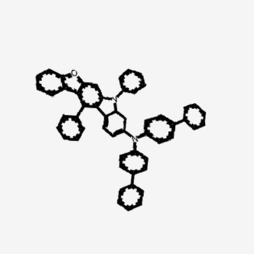 C1=C2c3c(cc4oc5ccccc5c4c3-c3ccccc3)N(c3ccccc3)C2CC(N(c2ccc(-c3ccccc3)cc2)c2ccc(-c3ccccc3)cc2)=C1